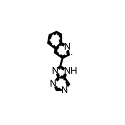 [c]1nc2ccccc2cc1-c1nc2ncncc2[nH]1